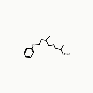 C[CH]CCCC(C)CCCC(C)CCNc1ccccc1